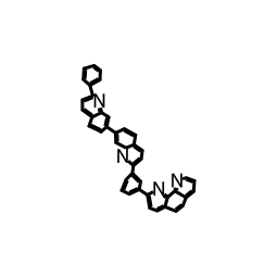 c1ccc(-c2ccc3ccc(-c4ccc5ccc(-c6cccc(-c7ccc8ccc9cccnc9c8n7)c6)nc5c4)cc3n2)cc1